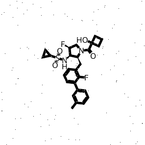 Cc1cccc(-c2cccc(C[C@H]3[C@@H](NS(=O)(=O)C4CC4)[C@@H](F)CN3C(=O)C3(O)CCC3)c2F)c1